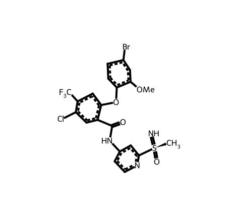 COc1cc(Br)ccc1Oc1cc(C(F)(F)F)c(Cl)cc1C(=O)Nc1ccnc([S@](C)(=N)=O)c1